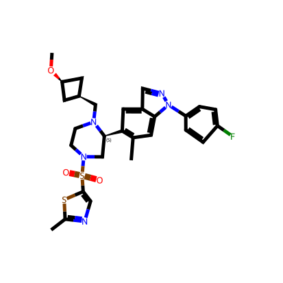 CO[C@H]1C[C@@H](CN2CCN(S(=O)(=O)c3cnc(C)s3)C[C@@H]2c2cc3cnn(-c4ccc(F)cc4)c3cc2C)C1